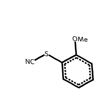 COc1ccccc1SC#N